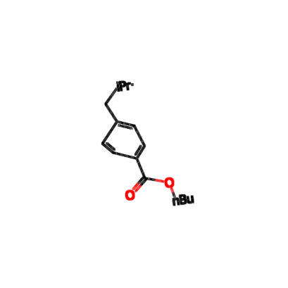 CCCCOC(=O)c1ccc(C[C](C)C)cc1